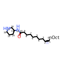 CCCCCCCC/C=C\CCCCCCCC(=O)NC1CCCNC1